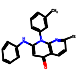 CCc1ccc2c(=O)cc(Nc3ccccc3)n(-c3cccc(C)c3)c2n1